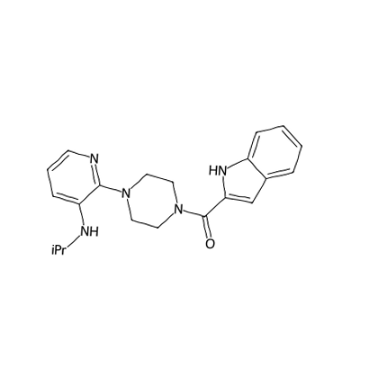 CC(C)Nc1cccnc1N1CCN(C(=O)c2cc3ccccc3[nH]2)CC1